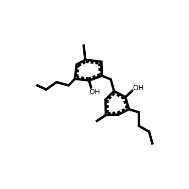 CCCCc1cc(C)cc(Cc2cc(C)cc(CCCC)c2O)c1O